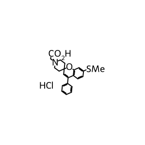 CSc1ccc2c(c1)OC1(C=C2c2ccccc2)CCN(CC(=O)O)CC1.Cl